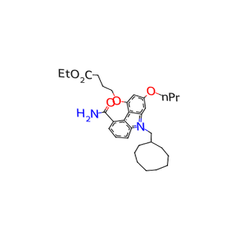 CCCOc1cc(OCCCC(=O)OCC)c2c3c(C(N)=O)cccc3n(CC3CCCCCCCC3)c2c1